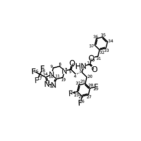 O=C(N[C@@H](CC(=O)N1CCn2c(nnc2C(F)(F)F)C1)Cc1cc(F)c(F)cc1F)OCc1ccccc1